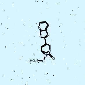 O=C1N2CC(c3nc4cccnc4s3)=CC(C2)N1OS(=O)(=O)O